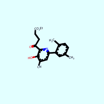 CCOC(=O)CCC(=O)c1nc(-c2cc(C)ccc2C)cc(C#N)c1O